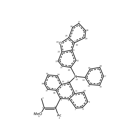 CO/C(C)=C(\C(C)=O)c1c2ccccc2c(N(c2ccccc2)c2ccc3oc4ccccc4c3c2)c2ccccc12